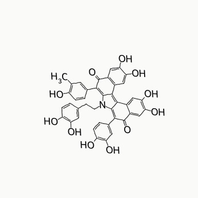 Cc1cc(C2=c3c(c4c(n3CCc3ccc(O)c(O)c3)=C(c3ccc(O)c(O)c3)C(=O)c3cc(O)c(O)cc3-4)-c3cc(O)c(O)cc3C2=O)ccc1O